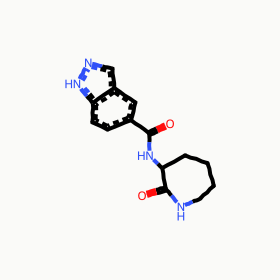 O=C(NC1CCCCNC1=O)c1ccc2[nH]ncc2c1